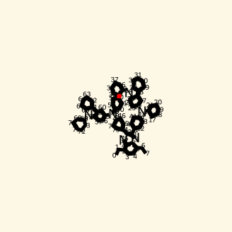 CCc1ccc(CC)c2nc(-c3ccc(N(c4ccccc4)c4ccc5c(c4)c4ccccc4n5-c4ccccc4)cc3)c(-c3ccc(N(c4ccccc4)c4ccc5c(c4)c4ccccc4n5C4=CC=CCC4)cc3)nc12